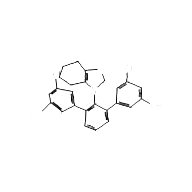 Cc1cc(C)cc(-c2cccc(-c3cc(C)cc(C)c3)c2N2[C]SC3=C2CCCC3)c1